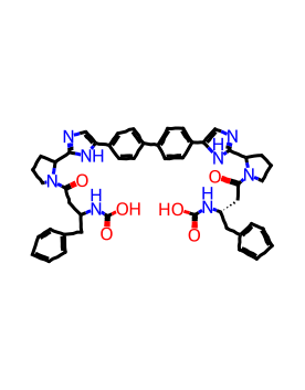 O=C(O)NC(CC(=O)N1CCCC1c1ncc(-c2ccc(-c3ccc(-c4cnc(C5CCCN5C(=O)C[C@H](Cc5ccccc5)NC(=O)O)[nH]4)cc3)cc2)[nH]1)Cc1ccccc1